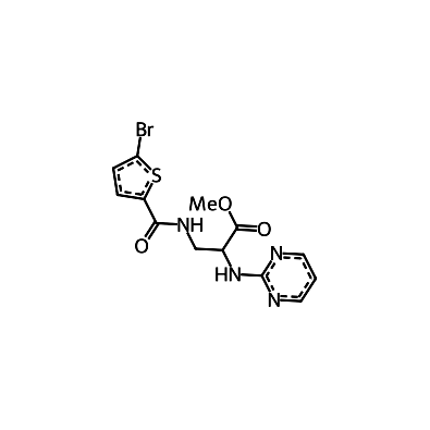 COC(=O)C(CNC(=O)c1ccc(Br)s1)Nc1ncccn1